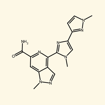 Cn1ccc(-c2cn(C)c(-c3nc(C(N)=O)cc4c3cnn4C)n2)n1